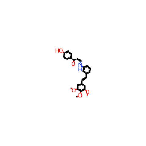 COc1cc(C=Cc2cccc(N/C=C\C(=O)c3ccc(O)cc3)c2)cc(OC)c1OC